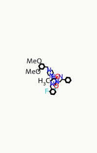 COc1cc(CN2CCN(c3c(C)n(Cc4c(F)cccc4F)c(=O)n(CC(N)c4ccccc4)c3=O)CC2)cc(OC)c1